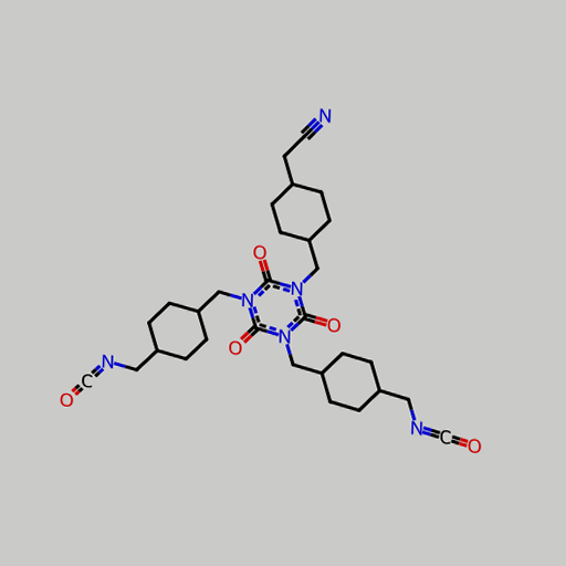 N#CCC1CCC(Cn2c(=O)n(CC3CCC(CN=C=O)CC3)c(=O)n(CC3CCC(CN=C=O)CC3)c2=O)CC1